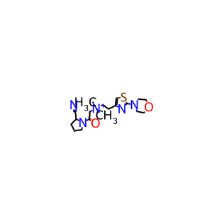 C[N+](C)(CCc1csc(N2CCOCC2)n1)CC(=O)N1CCCC1C#N